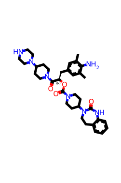 Cc1cc(C[C@@H](OC(=O)N2CCC(N3CCc4ccccc4NC3=O)CC2)C(=O)N2CCC(N3CCNCC3)CC2)cc(C)c1N